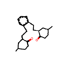 CC1CCC(=O)C(CCc2ccccc2CCC2CC(C)CCC2=O)C1